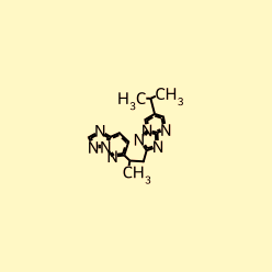 CC(C)c1cnc2nc(CC(C)c3ccc4ncnn4n3)nn2c1